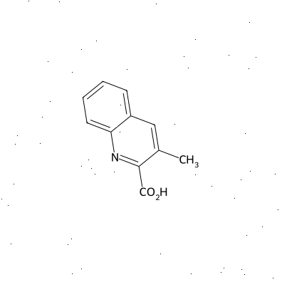 Cc1cc2ccccc2nc1C(=O)O